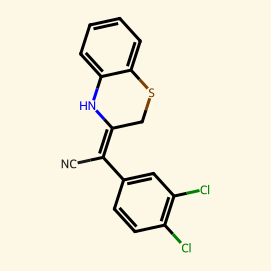 N#CC(=C1CSc2ccccc2N1)c1ccc(Cl)c(Cl)c1